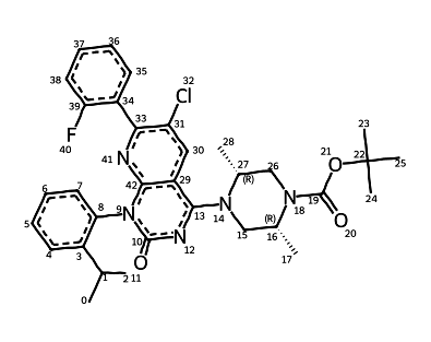 CC(C)c1ccccc1-n1c(=O)nc(N2C[C@@H](C)N(C(=O)OC(C)(C)C)C[C@H]2C)c2cc(Cl)c(-c3ccccc3F)nc21